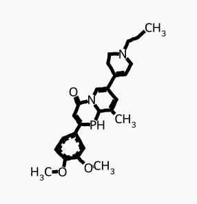 CCCN1CC=C(C2=CN3C(=O)C=C(c4ccc(OC)c(OC)c4)PC3C(C)=C2)CC1